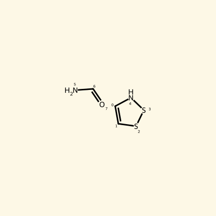 C1=CSSN1.NC=O